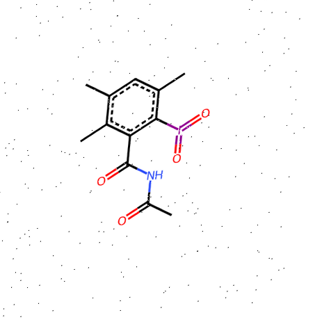 CC(=O)NC(=O)c1c(C)c(C)cc(C)c1I(=O)=O